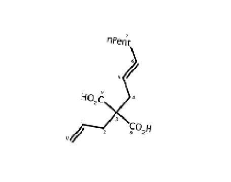 C=CCC(CC=CCCCCC)(C(=O)O)C(=O)O